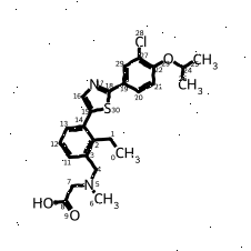 CCc1c(CN(C)CC(=O)O)cccc1-c1cnc(-c2ccc(OC(C)C)c(Cl)c2)s1